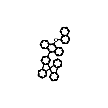 c1ccc2c(c1)-c1ccccc1C21c2ccccc2-c2ccc(-c3c4ccccc4c(Oc4cccc5ccccc45)c4ccccc34)cc21